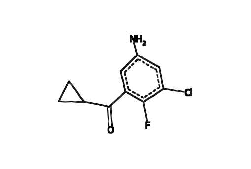 Nc1cc(Cl)c(F)c(C(=O)C2CC2)c1